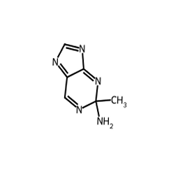 CC1(N)N=CC2=NC=NC2=N1